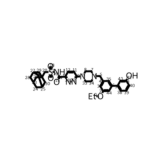 CCOc1cc(CN2CCN(c3ccc(C(=O)NS(=O)(=O)CC45CC6CC(CC(C6)C4)C5)nn3)CC2)cc(-c2cccc(O)c2)c1